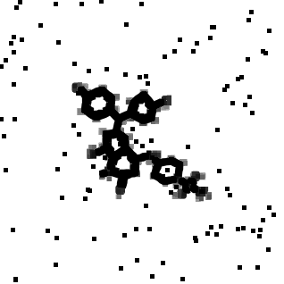 Cn1c(=O)cc(NC2CCN(S(=O)(=O)C(F)(F)F)CC2)c2cc(C(c3ccc(Cl)cc3)c3ccc(Cl)cc3)cc(Br)c21